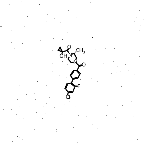 C[C@@H]1CN(C(=O)c2ccc(-c3ccc(Cl)cc3F)cc2)CCN1C(=O)C1(O)CC1